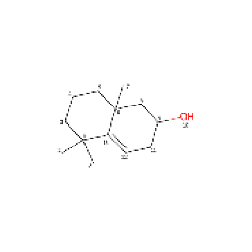 CC1(C)CCCC2(C)CC(O)CC=C12